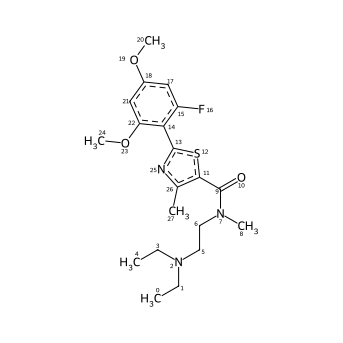 CCN(CC)CCN(C)C(=O)c1sc(-c2c(F)cc(OC)cc2OC)nc1C